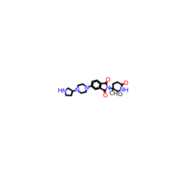 O=CC1(N2C(=O)c3ccc(N4CCN(C5CCNC5)CC4)cc3C2=O)CCC(=O)NC1